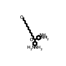 NC1(N)CCC(C(C(=O)CCCCCCCCCCCCC=O)C2CCC(N)(N)CC2)CC1